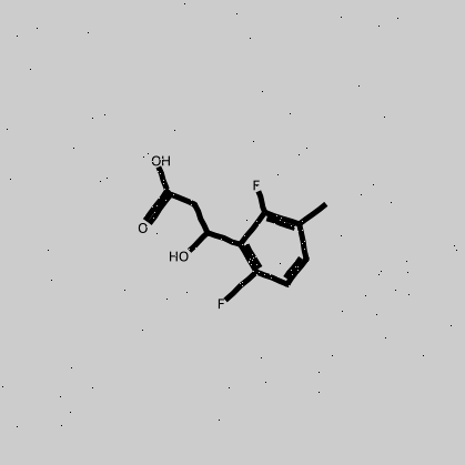 Cc1ccc(F)c(C(O)CC(=O)O)c1F